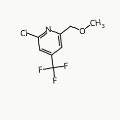 COCc1cc(C(F)(F)F)cc(Cl)n1